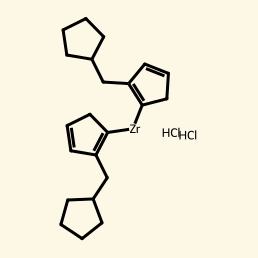 C1=CC(CC2CCCC2)=[C]([Zr][C]2=C(CC3CCCC3)C=CC2)C1.Cl.Cl